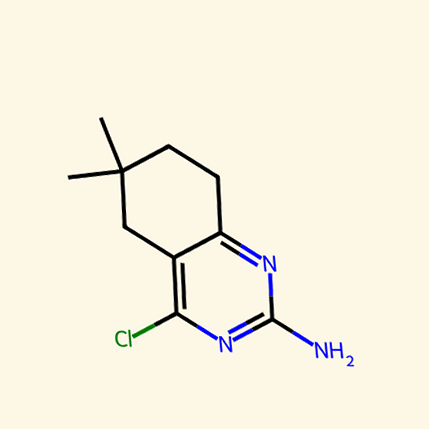 CC1(C)CCc2nc(N)nc(Cl)c2C1